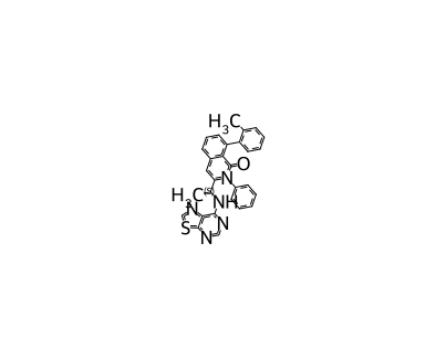 Cc1ccccc1-c1cccc2cc([C@H](C)Nc3ncnc4scnc34)n(-c3ccccc3)c(=O)c12